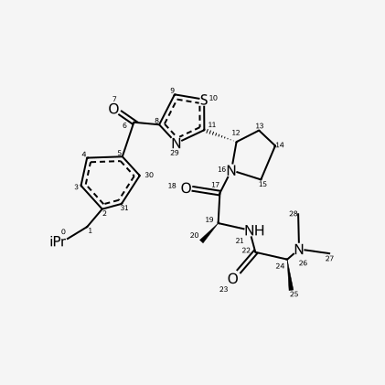 CC(C)Cc1ccc(C(=O)c2csc([C@@H]3CCCN3C(=O)[C@H](C)NC(=O)[C@H](C)N(C)C)n2)cc1